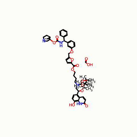 CC(C)(C)OC(=O)N(CCCCOC(=O)c1ccc(COc2cccc([C@@H](NC(=O)OC3CN4CCC3CC4)c3ccccc3)c2)o1)CC(O[Si](C)(C)C(C)(C)C)c1ccc(O)c2[nH]c(=O)ccc12.O=CO